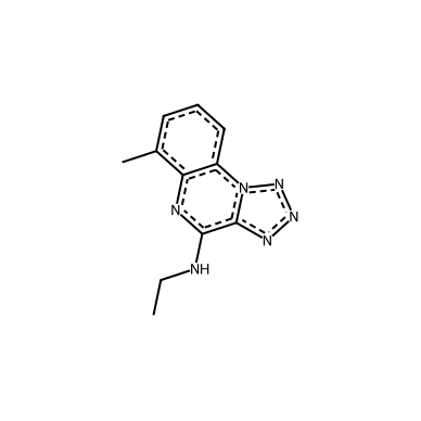 CCNc1nc2c(C)cccc2n2nnnc12